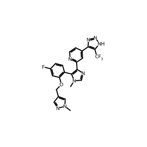 Cn1cc(COc2cc(F)ccc2-c2c(-c3cc(-c4nn[nH]c4C(F)(F)F)ccn3)ncn2C)cn1